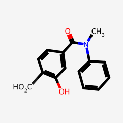 CN(C(=O)c1ccc(C(=O)O)c(O)c1)c1ccccc1